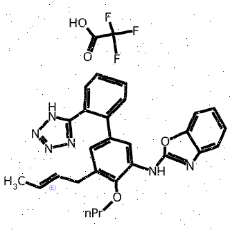 C/C=C/Cc1cc(-c2ccccc2-c2nnn[nH]2)cc(Nc2nc3ccccc3o2)c1OCCC.O=C(O)C(F)(F)F